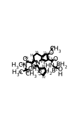 BC(B)(O)NC(=O)c1cc2c(cc1OC)CCc1c(C(=O)N(C)C(C)(C)C)nc(-c3cccs3)n1-2